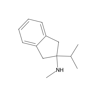 CNC1(C(C)C)Cc2ccccc2C1